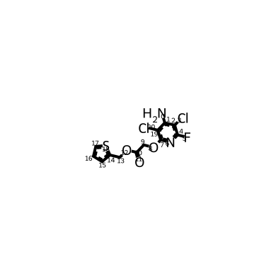 Nc1c(Cl)c(F)nc(OCC(=O)OCc2cccs2)c1Cl